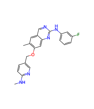 CNc1ccc(COc2cc3nc(Nc4cccc(F)c4)ncc3cc2C)cn1